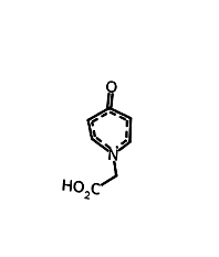 O=C(O)Cn1ccc(=O)cc1